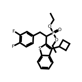 CCOP(=O)(OCC)C(Cc1ccc(F)c(F)c1)c1sc2ccccc2c1C1CCC1